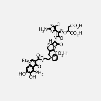 CCn1cc(C(=O)NCC[N+]2(CC3=C(C(=O)O)N4C(=O)[C@@H](NC(=O)/C(=N\O[C@@H](CC(=O)O)C(=O)O)c5nc(N)sc5Cl)[C@H]4SC3)CCCC2)c(=O)c2c(P)c(O)c(O)cc21